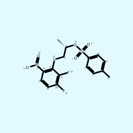 Cc1ccc(S(=O)(=O)O[C@@H](C)COc2c([N+](=O)[O-])ccc(F)c2F)cc1